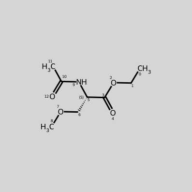 CCOC(=O)[C@H](COC)NC(C)=O